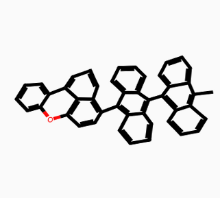 Cc1c2ccccc2c(-c2c3ccccc3c(-c3ccc4c5c(cccc35)-c3ccccc3O4)c3ccccc23)c2ccccc12